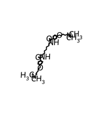 CN(C)CCCCOc1ccc(C(=O)NCCCCCCCNC(=O)c2ccc(OCCCCN(C)C)cc2)cc1